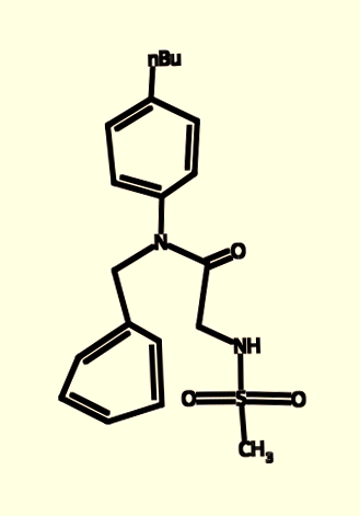 CCCCc1ccc(N(Cc2ccccc2)C(=O)CNS(C)(=O)=O)cc1